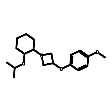 COc1ccc(OC2CN(C3CCCCC3OC(C)C)C2)cc1